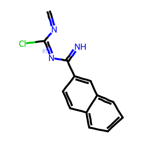 C=N/C(Cl)=N\C(=N)c1ccc2ccccc2c1